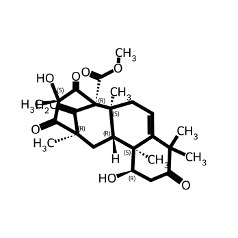 C=C1[C@@]2(C)C[C@H]3[C@@]4(C)C(=CC[C@]3(C)[C@]1(C(=O)OC)C(=O)[C@@](C)(O)C2=O)C(C)(C)C(=O)C[C@H]4O